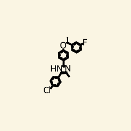 Cc1nc(-c2ccc(O[C@@H](C)c3cccc(F)c3)cc2)[nH]c1-c1ccc(Cl)cc1